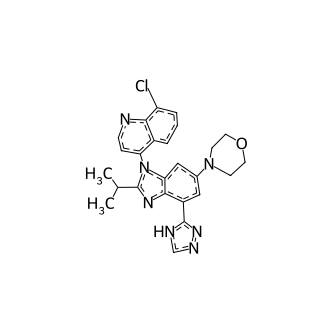 CC(C)c1nc2c(-c3nnc[nH]3)cc(N3CCOCC3)cc2n1-c1ccnc2c(Cl)cccc12